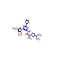 Cc1cc(C)n(-c2cc(NC(=O)C(C)N3CCC(N(C)C)C3)nc(-c3nccs3)n2)n1